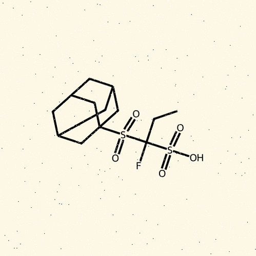 CCC(F)(S(=O)(=O)O)S(=O)(=O)C12CC3CC(CC(C3)C1)C2